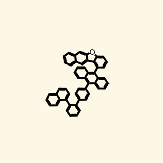 c1ccc(-c2cccc3ccccc23)c(-c2ccc(-c3c4ccccc4c(-c4cccc5oc6cc7ccccc7cc6c45)c4ccccc34)cc2)c1